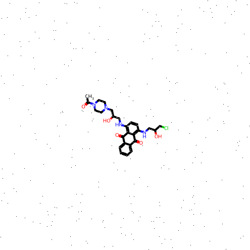 CC(=O)N1CCN(CC(O)CNc2ccc(NCC(O)CCl)c3c2C(=O)c2ccccc2C3=O)CC1